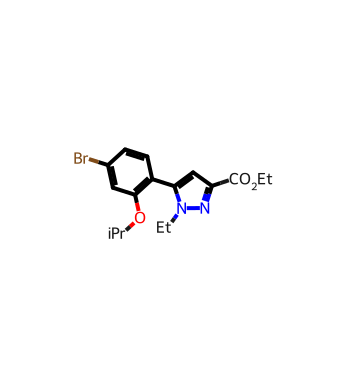 CCOC(=O)c1cc(-c2ccc(Br)cc2OC(C)C)n(CC)n1